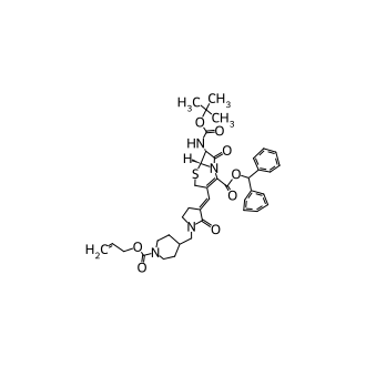 C=CCOC(=O)N1CCC(CN2CC/C(=C\C3=C(C(=O)OC(c4ccccc4)c4ccccc4)N4C(=O)[C@@H](NC(=O)OC(C)(C)C)[C@H]4SC3)C2=O)CC1